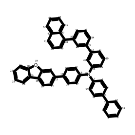 c1ccc(-c2ccc(N(c3ccc(-c4ccc5c(c4)oc4ccccc45)cc3)c3cccc(-c4cccc(-c5cccc6ccccc56)c4)c3)cc2)cc1